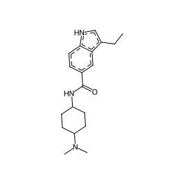 CCc1c[nH]c2ccc(C(=O)NC3CCC(N(C)C)CC3)cc12